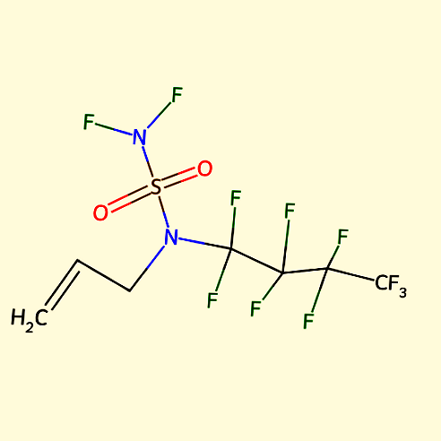 C=CCN(C(F)(F)C(F)(F)C(F)(F)C(F)(F)F)S(=O)(=O)N(F)F